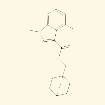 Cn1cc(C(=O)NCC23CCC(CC2)CC3)c2c(F)cccc21